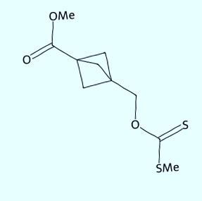 COC(=O)C12CC(COC(=S)SC)(C1)C2